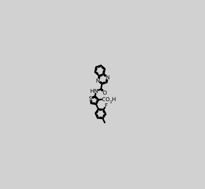 Cc1ccc(-c2csc(NC(=O)c3cnc4ccccc4n3)c2C(=O)O)c(F)c1